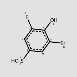 O=S(=O)(O)c1cc(F)c(O)c(Br)c1